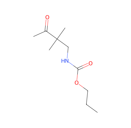 CCCOC(=O)NCC(C)(C)C(C)=O